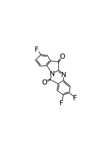 O=C1c2cc(F)ccc2-n2c1nc1cc(F)c(F)cc1c2=O